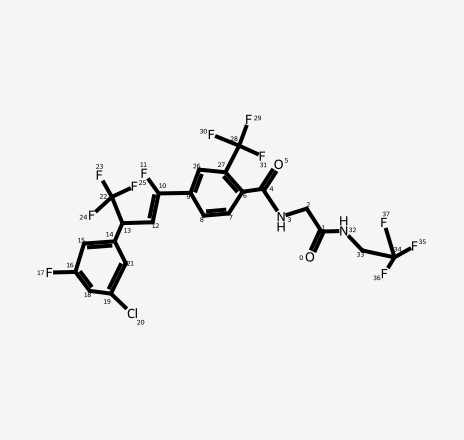 O=C(CNC(=O)c1ccc(/C(F)=C/C(c2cc(F)cc(Cl)c2)C(F)(F)F)cc1C(F)(F)F)NCC(F)(F)F